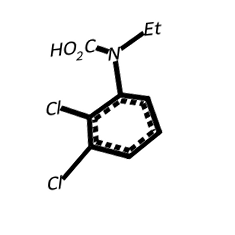 CCN(C(=O)O)c1cccc(Cl)c1Cl